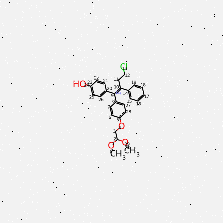 COC(COc1ccc(/C(=C(/CCCl)c2ccccc2)c2ccc(O)cc2)cc1)OC